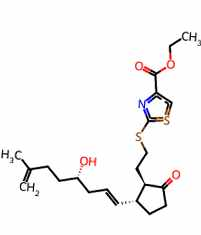 C=C(C)CC[C@H](O)CC=C[C@H]1CCC(=O)[C@@H]1CCSc1nc(C(=O)OCC)cs1